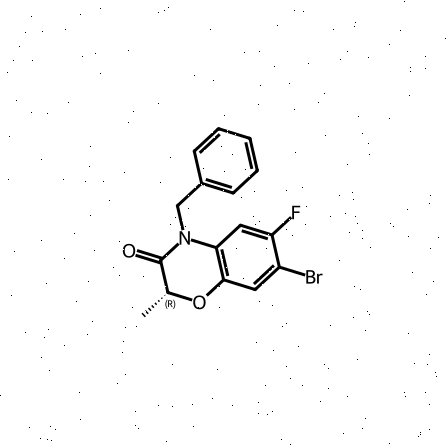 C[C@H]1Oc2cc(Br)c(F)cc2N(Cc2ccccc2)C1=O